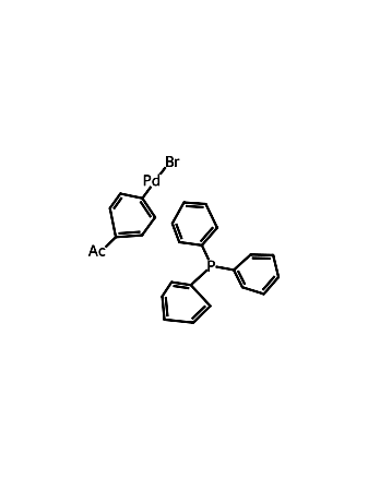 CC(=O)c1cc[c]([Pd][Br])cc1.c1ccc(P(c2ccccc2)c2ccccc2)cc1